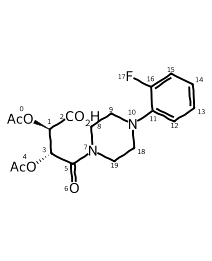 CC(=O)O[C@@H](C(=O)O)[C@@H](OC(C)=O)C(=O)N1CCN(c2ccccc2F)CC1